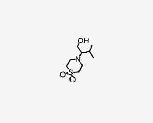 CC(C)C(CO)N1CCS(=O)(=O)CC1